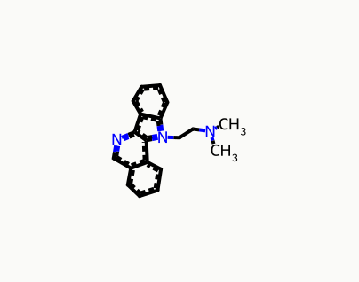 CN(C)CCn1c2ccccc2c2ncc3ccccc3c21